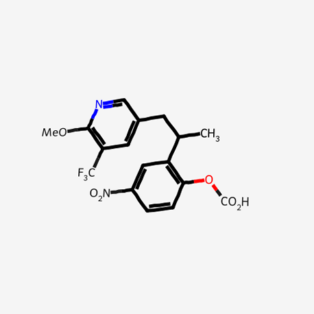 COc1ncc(CC(C)c2cc([N+](=O)[O-])ccc2OC(=O)O)cc1C(F)(F)F